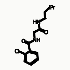 CC(C)C[CH]NC(=O)CNC(=O)c1ccccc1Cl